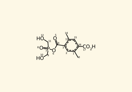 Cc1cc(C(=O)OP(=O)(CO)CO)c(C)cc1C(=O)O